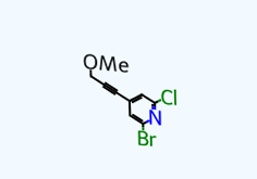 COCC#Cc1cc(Cl)nc(Br)c1